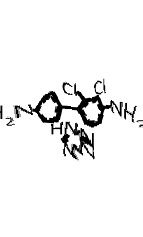 Nc1ccc(-c2ccc(N)c(Cl)c2Cl)cc1.c1nnn[nH]1